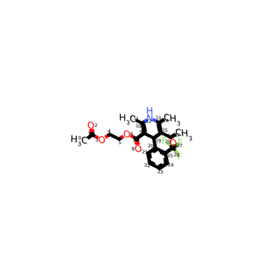 CC(=O)OCCOC(=O)C1=C(C)NC(C)=C(C(C)=O)C1c1ccccc1C(F)(F)F